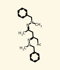 CC(=O)CC(CC(C)=NN(C)Cc1ccccc1)=NN(C)Cc1ccccc1